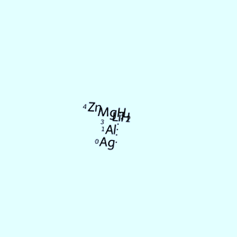 [Ag].[Al].[LiH].[MgH2].[Zn]